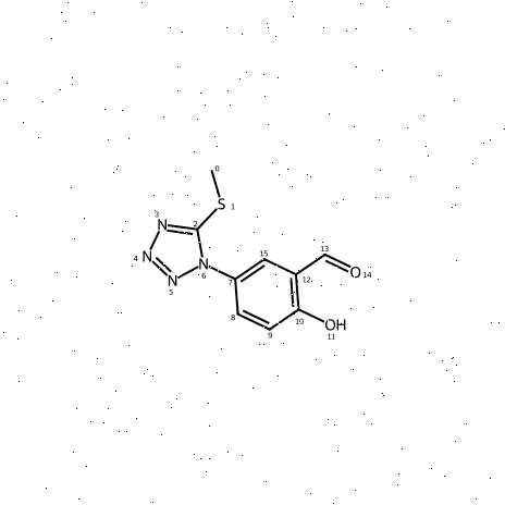 CSc1nnnn1-c1ccc(O)c(C=O)c1